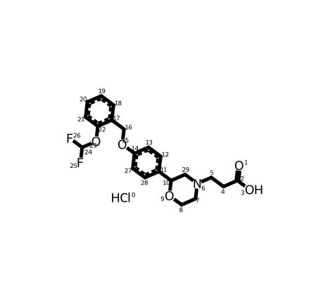 Cl.O=C(O)CCN1CCOC(c2ccc(OCc3ccccc3OC(F)F)cc2)C1